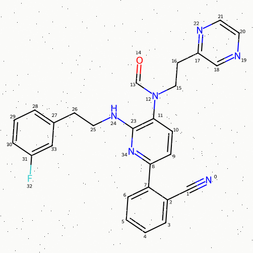 N#Cc1ccccc1-c1ccc(N(C=O)CCc2cnccn2)c(NCCc2cccc(F)c2)n1